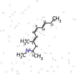 C=NC(C)C/C(C)=C/C=C\C=C\CC